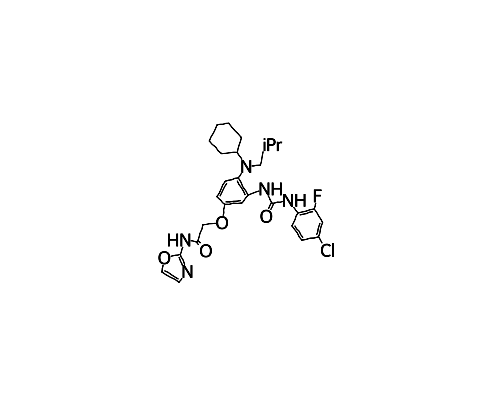 CC(C)CN(c1ccc(OCC(=O)Nc2ncco2)cc1NC(=O)Nc1ccc(Cl)cc1F)C1CCCCC1